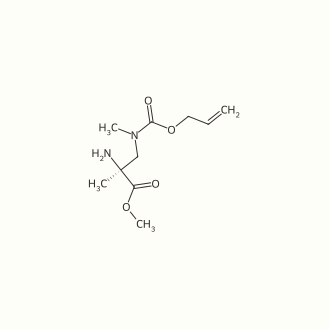 C=CCOC(=O)N(C)C[C@](C)(N)C(=O)OC